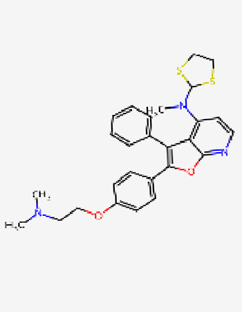 CN(C)CCOc1ccc(-c2oc3nccc(N(C)C4SCCS4)c3c2-c2ccccc2)cc1